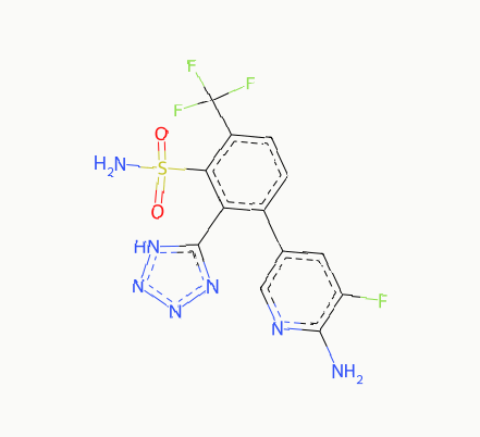 Nc1ncc(-c2ccc(C(F)(F)F)c(S(N)(=O)=O)c2-c2nnn[nH]2)cc1F